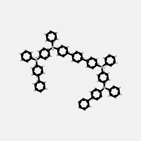 c1ccc(-c2ccc(N(c3ccccc3)c3ccc(N(c4ccccc4)c4ccc(-c5ccc(-c6ccc(N(c7ccccc7)c7ccc(N(c8ccccc8)c8ccc(-c9ccccc9)cc8)cc7)cc6)cc5)cc4)cc3)cc2)cc1